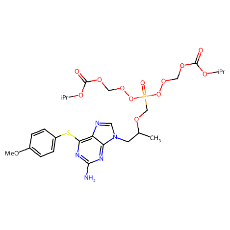 COc1ccc(Sc2nc(N)nc3c2ncn3CC(C)OCP(=O)(OOCOC(=O)OC(C)C)OOCOC(=O)OC(C)C)cc1